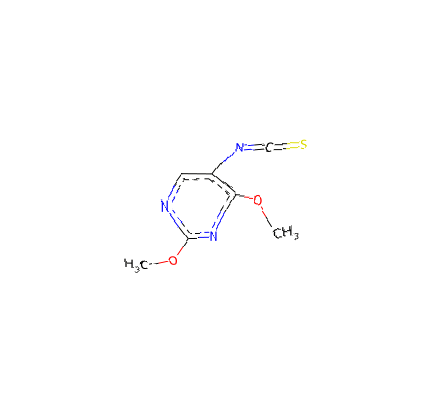 COc1ncc(N=C=S)c(OC)n1